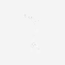 CC(=O)N1CCC(NC2CCN(C(=O)CCCN3CCC(COc4ccc5c(c4)n(C)c(=O)n5C4CCC(=O)NC4=O)CC3)CC2)=C(C(=N)N2CCCc3cc(C4C=NN(C)C4)c(C(F)F)cc32)C1